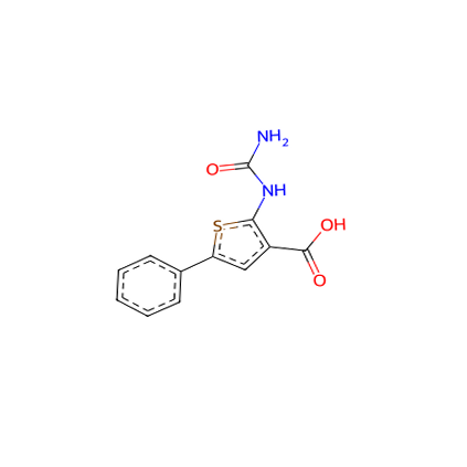 NC(=O)Nc1sc(-c2ccccc2)cc1C(=O)O